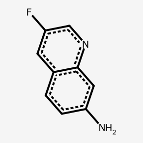 Nc1ccc2cc(F)cnc2c1